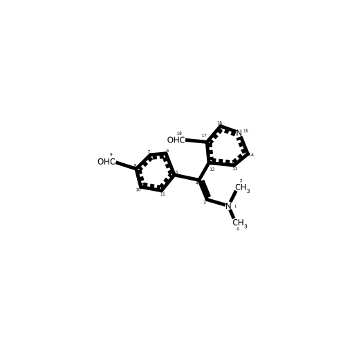 CN(C)/C=C(/c1ccc(C=O)cc1)c1ccncc1C=O